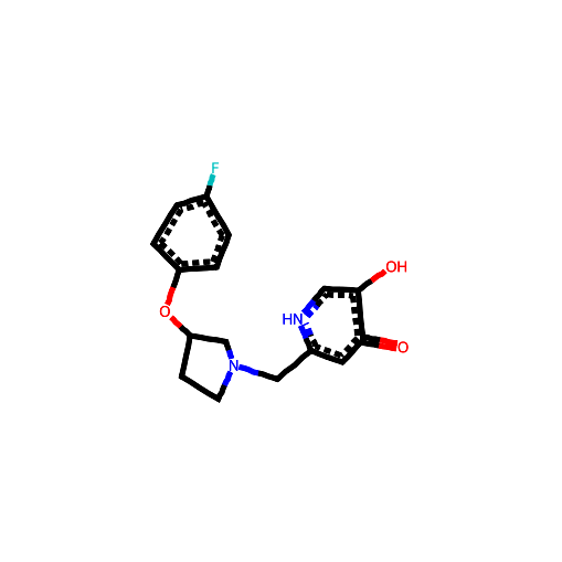 O=c1cc(CN2CCC(Oc3ccc(F)cc3)C2)[nH]cc1O